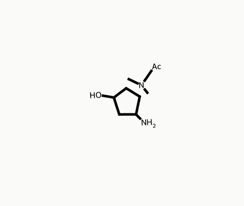 CC(=O)N(C)C.NC1CCC(O)C1